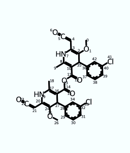 COC1=C(C=C=O)NC(C)=C(C(=O)OC(=O)C2=C(C)NC(C=C=O)=C(OC)C2c2cccc(Cl)c2)C1c1cccc(Cl)c1